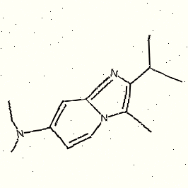 Cc1c(C(C)C)nc2cc(N(C)C)ccn12